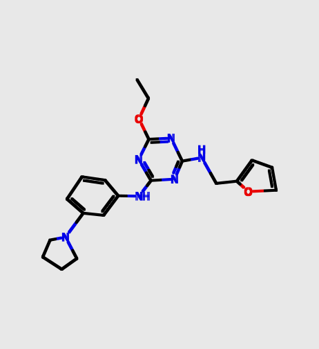 CCOc1nc(NCc2ccco2)nc(Nc2cccc(N3CCCC3)c2)n1